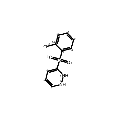 O=S(=O)(C1=CC=CNN1)c1ccccc1Cl